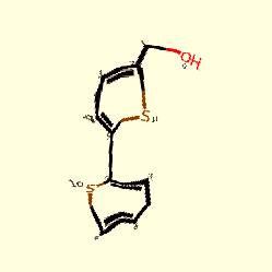 OCc1ccc(-c2cccs2)s1